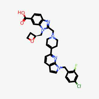 O=C(O)c1ccc2nc(CN3CC=C(c4ccc5ccn(Cc6ccc(Cl)cc6F)c5n4)CC3)n(C[C@@H]3CCO3)c2c1